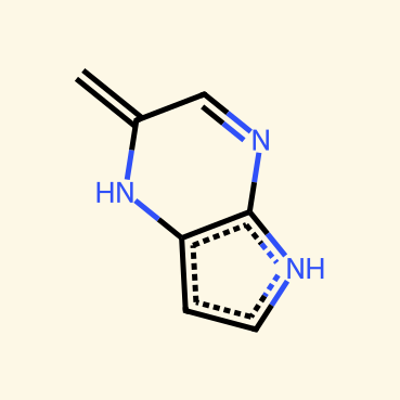 C=C1C=Nc2[nH]ccc2N1